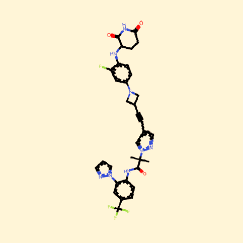 CC(C)(C(=O)Nc1ccc(C(F)(F)F)cc1-n1cccn1)n1cc(C#CC2CN(c3ccc(NC4CCC(=O)NC4=O)c(F)c3)C2)cn1